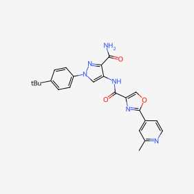 Cc1cc(-c2nc(C(=O)Nc3cn(-c4ccc(C(C)(C)C)cc4)nc3C(N)=O)co2)ccn1